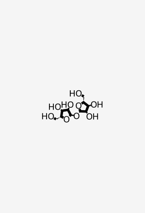 OC[C@H]1O[C@@H](O[C@H]2O[C@H](CO)[C@@H](O)[C@H]2O)[C@H](O)[C@@H]1O